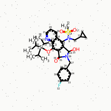 CC(C)[Si](Oc1c2c(c(N(CC3CC3)S(C)(=O)=O)c3cccnc13)C(O)N(Cc1ccc(F)cc1)C2=O)(C(C)C)C(C)C